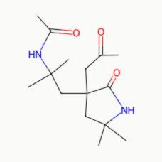 CC(=O)CC1(CC(C)(C)NC(C)=O)CC(C)(C)NC1=O